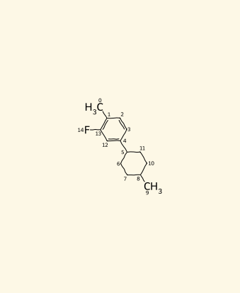 Cc1ccc(C2CCC(C)CC2)cc1F